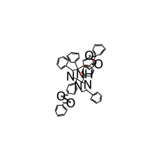 O=S(=O)(c1ccccc1)c1ccc(C2(C3(c4ccc(S(=O)(=O)c5ccccc5)cc4)N=C(c4ccccc4)C(c4ccccc4)(c4ccccc4)N3)N=CC(c3ccccc3)=N2)cc1